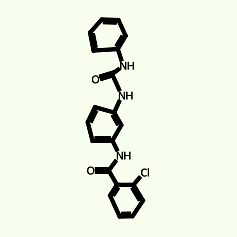 O=C(Nc1ccccc1)Nc1cccc(NC(=O)c2ccccc2Cl)c1